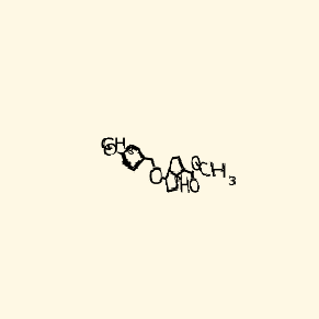 COC(=O)C1=CCC2C(OCc3ccc(OC)cc3)CC[C@H]12